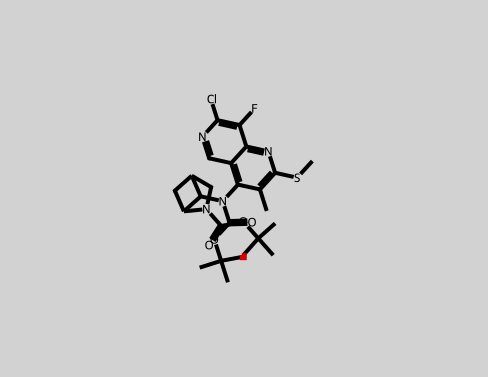 CSc1nc2c(F)c(Cl)ncc2c(N(C(=O)OC(C)(C)C)C2C3CC2N(C(=O)OC(C)(C)C)C3)c1C